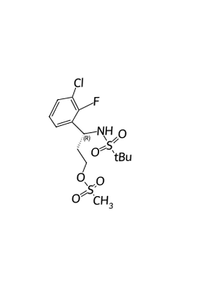 CC(C)(C)S(=O)(=O)N[C@H](CCOS(C)(=O)=O)c1cccc(Cl)c1F